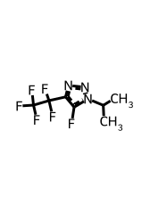 CC(C)n1nnc(C(F)(F)C(F)(F)F)c1F